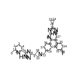 Cc1cccc(-c2nc(C3CN(Cc4ccc(-c5nc6nc(C7CC7)nn6cc5-c5ccc(F)cc5)cc4)C3)n[nH]2)n1